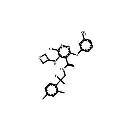 Cc1ccc(C(F)(F)CNC(=O)c2c(Oc3cccc(C(F)(F)F)c3)nnc(Cl)c2NC2COC2)c(C)c1